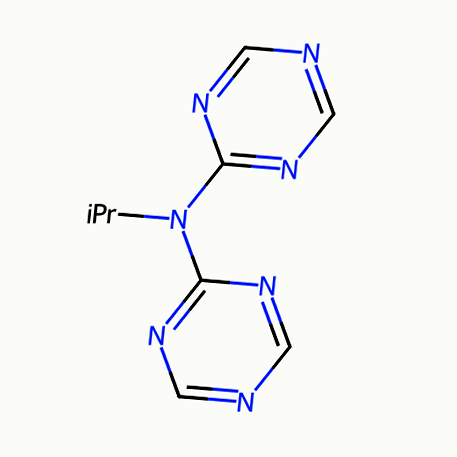 CC(C)N(c1ncncn1)c1ncncn1